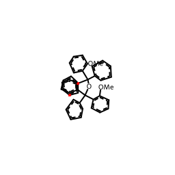 COc1ccccc1C(OC(c1ccccc1)(c1ccccc1)c1ccccc1OC)(c1ccccc1)c1ccccc1